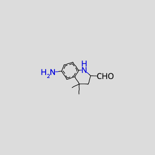 CC1(C)CC(C=O)Nc2ccc(N)cc21